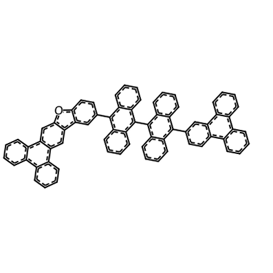 c1ccc2c(-c3c4ccccc4c(-c4ccc5c6ccccc6c6ccccc6c5c4)c4ccccc34)c3ccccc3c(-c3ccc4oc5cc6c7ccccc7c7ccccc7c6cc5c4c3)c2c1